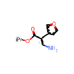 CC(C)OC(=O)/C(=C/N)c1ccoc1